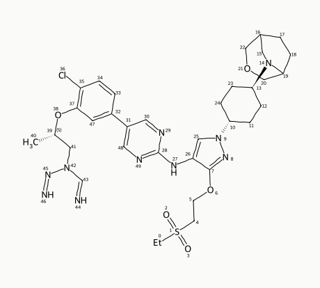 CCS(=O)(=O)CCOc1nn([C@H]2CC[C@H](N3CC4CCC3COC4)CC2)cc1Nc1ncc(-c2ccc(Cl)c(O[C@@H](C)CN(C=N)N=N)c2)cn1